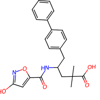 CC(C)(CC(Cc1ccc(-c2ccccc2)cc1)NC(=O)c1cc(O)no1)C(=O)O